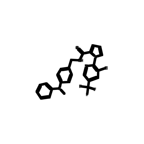 CN(c1ccccc1)c1ccc(CNC(=O)c2cccn2-c2ncc(C(F)(F)F)cc2Cl)cc1